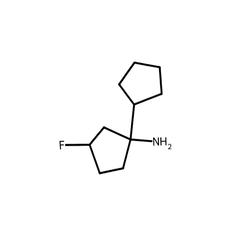 NC1(C2CCCC2)CCC(F)C1